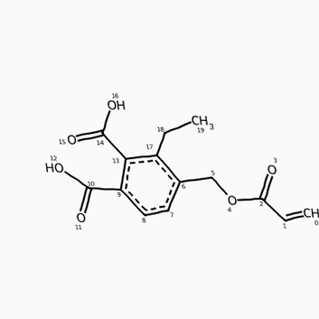 C=CC(=O)OCc1ccc(C(=O)O)c(C(=O)O)c1CC